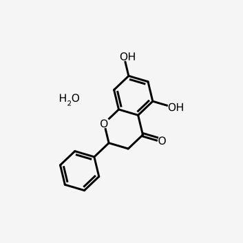 O.O=C1CC(c2ccccc2)Oc2cc(O)cc(O)c21